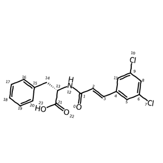 O=C(C=Cc1cc(Cl)cc(Cl)c1)N[C@@H](Cc1ccccc1)C(=O)O